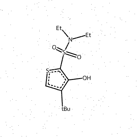 CCN(CC)S(=O)(=O)c1scc(C(C)(C)C)c1O